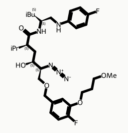 CC[C@H](C)[C@@H](CNc1ccc(F)cc1)NC(=O)[C@@H](C[C@H](O)[C@H](COCc1ccc(F)c(OCCCOC)c1)N=[N+]=[N-])C(C)C